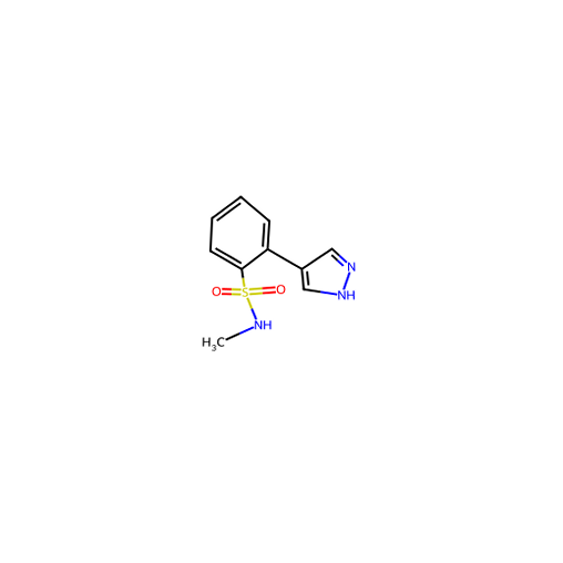 CNS(=O)(=O)c1ccccc1-c1cn[nH]c1